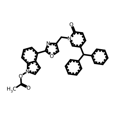 CC(=O)On1ccc2c(-c3nc(Cn4cc(C(c5ccccc5)c5ccccc5)ccc4=O)co3)cccc21